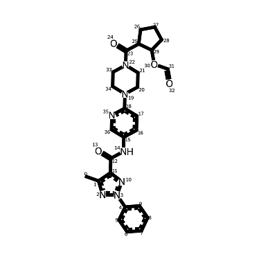 Cc1nn(-c2ccccc2)nc1C(=O)Nc1ccc(N2CCN(C(=O)C3CCCC3OC=O)CC2)nc1